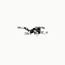 COCCOCCOc1cc(C[C@@H](C[C@H](NC(=O)OC(C)(C)C)[C@@H](O)C[C@@H](C)C(=O)O)C(C)C)ccc1OC